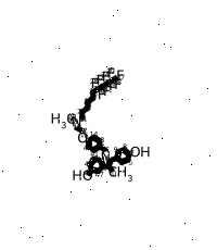 Cc1c(-c2ccc(O)cc2)n(Cc2ccc(OCCN(C)CCCCCCC(F)(F)C(F)(F)C(F)(F)C(F)(F)F)cc2)c2ccc(O)cc12